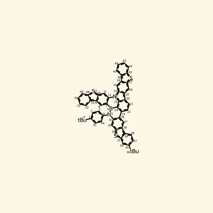 CC(C)(C)c1ccc(N2B3c4cc5c(cc4-n4c6cc7c(cc6c6ccc(c3c64)-c3cc4c(cc32)sc2cc(C(C)(C)C)ccc24)sc2ccccc27)sc2ccccc25)cc1